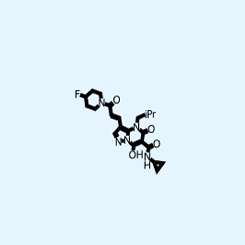 CC(C)Cn1c(=O)c(C(=O)NC2CC2)c(O)n2ncc(C=CC(=O)N3CCC(F)CC3)c12